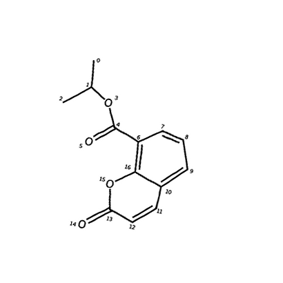 CC(C)OC(=O)c1cccc2ccc(=O)oc12